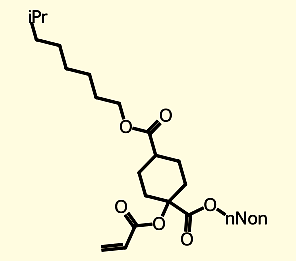 C=CC(=O)OC1(C(=O)OCCCCCCCCC)CCC(C(=O)OCCCCCCC(C)C)CC1